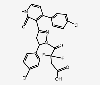 O=C(O)CC(F)(F)C(=O)N1N=C(c2c(-c3ccc(Cl)cc3)cc[nH]c2=O)CC1c1ccc(Cl)cc1